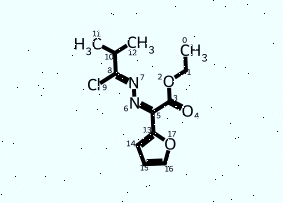 CCOC(=O)C(=NN=C(Cl)C(C)C)c1ccco1